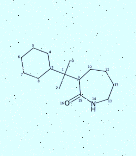 CC(C)(C1CCCCC1)C1CCCCNC1=O